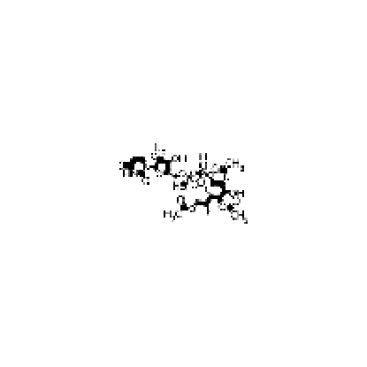 CC(=O)OC[C@H](F)[C@H]1OC(OP(=O)(O)OP(=O)(S)OC[C@H]2O[C@@H](n3ccc(=O)[nH]c3=O)[C@](C)(F)[C@@H]2O)C(OC(C)=O)C(O)C1OC(C)=O